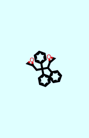 c1ccc(C(C2CO2)C(CC2CO2)(c2ccccc2)c2ccccc2)cc1